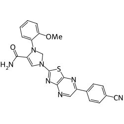 COc1ccccc1N1CN(c2nc3ncc(-c4ccc(C#N)cc4)nc3s2)C=C1C(N)=O